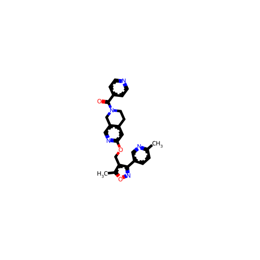 Cc1ccc(-c2noc(C)c2COc2cc3c(cn2)CN(C(=O)c2ccncc2)CC3)cn1